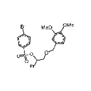 COc1ccc(COCC(OS(=O)(=O)c2ccc(Br)cc2)C(C)C)cc1OC